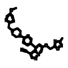 COc1ccc(CN2CCN(c3ccc(-c4cc(OCc5nc(C)no5)cn5ncc(C#N)c45)cn3)CC2)nc1